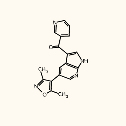 Cc1noc(C)c1-c1cnc2[nH]cc(C(=O)c3cccnc3)c2c1